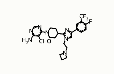 Nc1ncnc(N2CCC(c3nc(-c4ccc(F)c(C(F)(F)F)c4)cn3CCN3CCC3)CC2)c1C=O